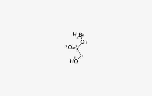 BOC(=O)CO